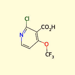 O=C(O)c1c(OC(F)(F)F)ccnc1Cl